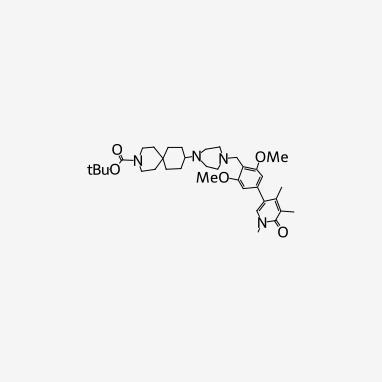 COc1cc(-c2cn(C)c(=O)c(C)c2C)cc(OC)c1CN1CCN(C2CCC3(CC2)CCN(C(=O)OC(C)(C)C)CC3)CC1